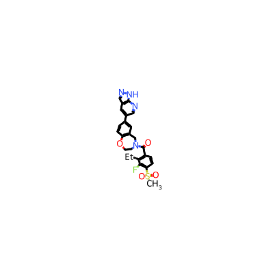 CCc1c(C(=O)N2CCOc3ccc(-c4cnc5[nH]ncc5c4)cc3C2)ccc(S(C)(=O)=O)c1F